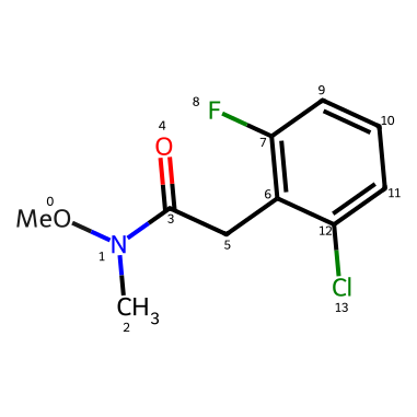 CON(C)C(=O)Cc1c(F)cccc1Cl